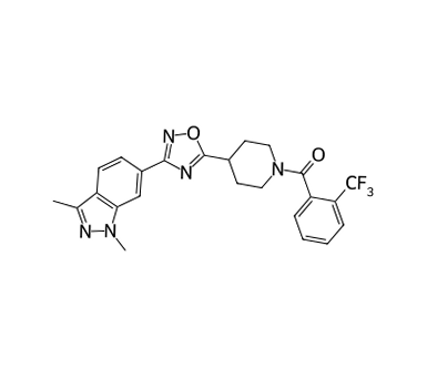 Cc1nn(C)c2cc(-c3noc(C4CCN(C(=O)c5ccccc5C(F)(F)F)CC4)n3)ccc12